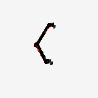 CCCCCCCCCCCCCCCCCCCCCCCCSc1[c]cccc1SCCCCCCCCCCCCCCCCCCCCCCCC